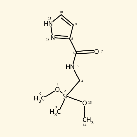 CO[Si](C)(CNC(=O)c1cc[nH]n1)OC